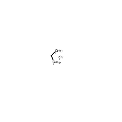 COCC=O.[KH]